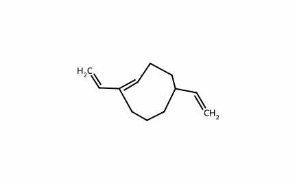 C=C/C1=C\CCC(C=C)CCC1